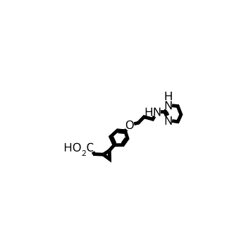 O=C(O)CC1CC1c1ccc(OCCCNC2=NCCCN2)cc1